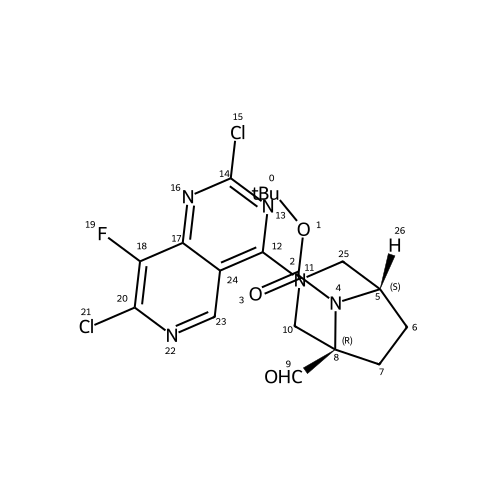 CC(C)(C)OC(=O)N1[C@H]2CC[C@]1(C=O)CN(c1nc(Cl)nc3c(F)c(Cl)ncc13)C2